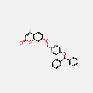 Cc1cc(=O)oc2cc(OCc3ccc(OC(c4ccccc4)c4ccccc4)cc3)ccc12